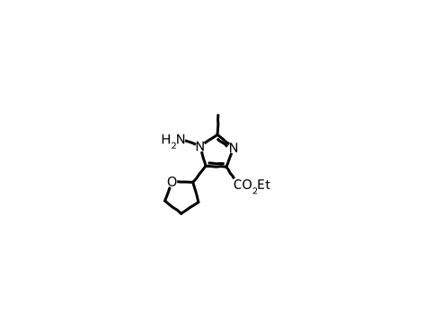 CCOC(=O)c1nc(C)n(N)c1C1CCCO1